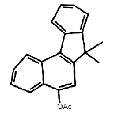 CC(=O)Oc1cc2c(c3ccccc13)-c1ccccc1C2(C)C